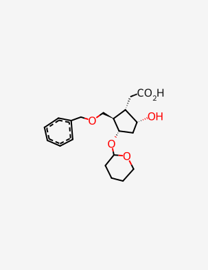 O=C(O)C[C@H]1[C@H](COCc2ccccc2)[C@@H](OC2CCCCO2)C[C@H]1O